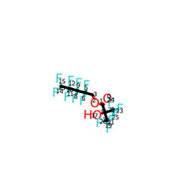 O=C(OCC(F)(F)C(F)(F)C(F)(F)C(F)F)C(O)(C(F)(F)F)C(F)(F)F